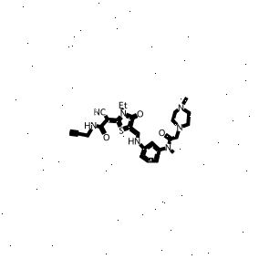 C#CCNC(=O)C(C#N)=c1sc(=CNc2cccc(N(C)C(=O)CN3CCN(C)CC3)c2)c(=O)n1CC